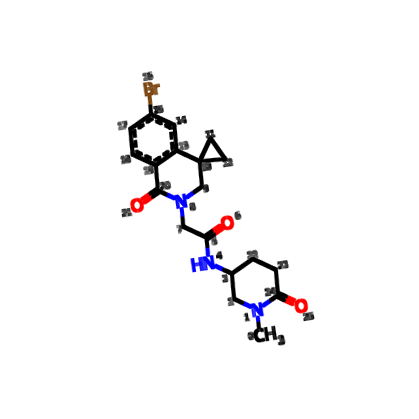 CN1CC(NC(=O)CN2CC3(CC3)c3cc(Br)ccc3C2=O)CCC1=O